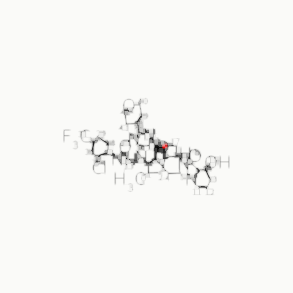 C[C@H]1C[C@]2(CCN(C(=O)c3ncccc3O)[C@H]3CC[C@H]32)c2c1n(CC(=O)Nc1ccc(C(F)(F)F)cc1Cl)c1nc(C3=CCOCC3)nn1c2=O